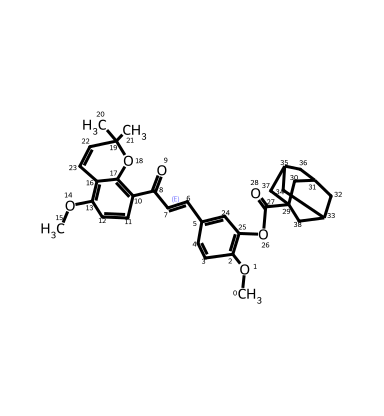 COc1ccc(/C=C/C(=O)c2ccc(OC)c3c2OC(C)(C)C=C3)cc1OC(=O)C12CC3CC(CC(C3)C1)C2